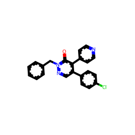 O=c1c(-c2ccncc2)c(-c2ccc(Cl)cc2)cnn1Cc1ccccc1